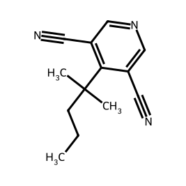 CCCC(C)(C)c1c(C#N)cncc1C#N